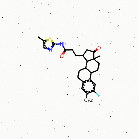 CC(=O)Oc1cc2c(cc1F)C1CCC3(C)C(=O)CC(CCC(=O)Nc4ncc(C)s4)C3C1CC2